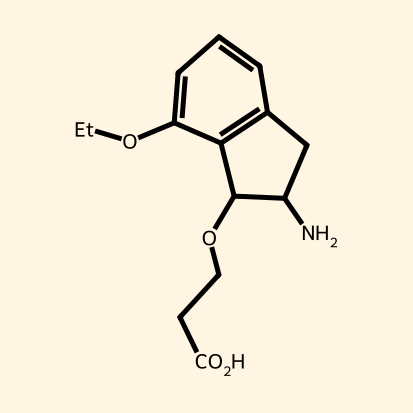 CCOc1cccc2c1C(OCCC(=O)O)C(N)C2